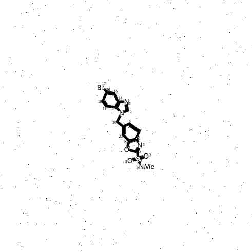 CNS(=O)(=O)c1nc2ccc(Cn3cnc4cc(Br)ccc43)cc2o1